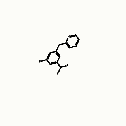 Fc1cc(Cc2ccccn2)cc(C(F)F)c1